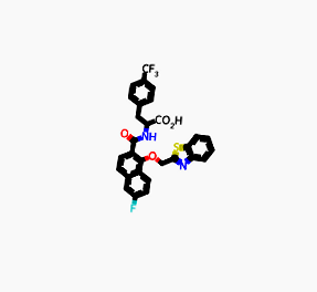 O=C(NC(Cc1ccc(C(F)(F)F)cc1)C(=O)O)c1ccc2cc(F)ccc2c1OCc1nc2ccccc2s1